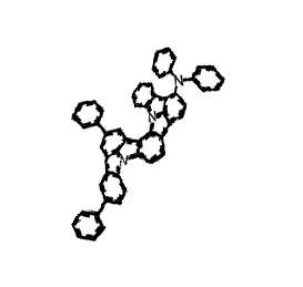 c1ccc(-c2ccc3c(c2)c2cc(-c4ccccc4)cc4c5c(ccc6c7ccc(N(c8ccccc8)c8ccccc8)c8c9ccccc9n(c78)c65)n3c24)cc1